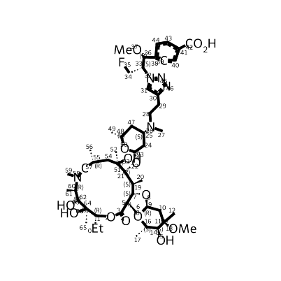 CC[C@H]1OC(=O)[C@H](C)[C@@H](O[C@H]2C[C@@](C)(OC)[C@@H](O)[C@H](C)O2)[C@H](C)[C@@H](O[C@H]2C[C@@H](N(C)CCc3cn([C@H](CF)[C@H](OC)c4ccc(C(=O)O)cc4)nn3)C[C@@H](C)O2)[C@](C)(O)C[C@@H](C)CN(C)[C@H](C)[C@@H](O)[C@]1(C)O